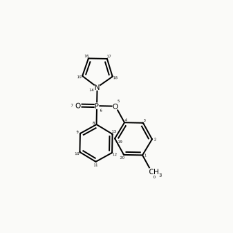 Cc1ccc(OP(=O)(c2ccccc2)n2cccc2)cc1